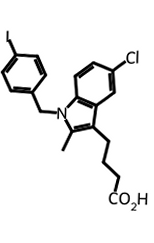 Cc1c(CCCC(=O)O)c2cc(Cl)ccc2n1Cc1ccc(I)cc1